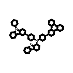 c1ccc(-n2c3ccccc3c3cc(-c4ccc(N(c5ccc(-c6ccc7c8ccccc8c8ccccc8c7c6)cc5)c5cccc6c5sc5ccccc56)cc4)ccc32)cc1